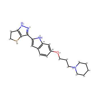 c1cc2cc(-c3n[nH]c4c3SCC4)[nH]c2cc1OCCCN1CCCCC1